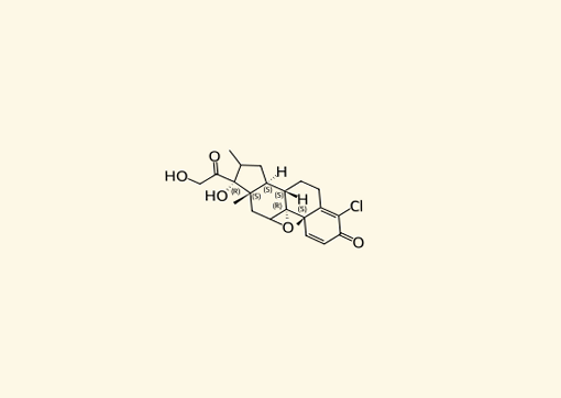 CC1C[C@H]2[C@@H]3CCC4=C(Cl)C(=O)C=C[C@]4(C)[C@]34OC4C[C@]2(C)[C@@]1(O)C(=O)CO